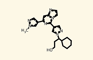 Cn1cc(-c2cc3nccn3c(-c3cnn(C(CCO)C4CCCCC4)c3)n2)cn1